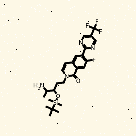 CC(N)C(CCn1ccc2cc(-c3ncc(C(F)(F)F)cn3)c(F)cc2c1=O)O[Si](C)(C)C(C)(C)C